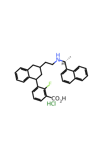 C[C@@H](NCCC1Cc2ccccc2C(c2cccc(C(=O)O)c2F)C1)c1cccc2ccccc12.Cl